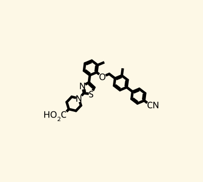 Cc1cc(-c2ccc(C#N)cc2)ccc1COc1c(C)cccc1-c1csc(N2CCC(C(=O)O)CC2)n1